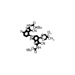 CC(C)(C)OC(=O)Nc1sc2c(F)ccc(Br)c2c1C#N.CC1(C)COB(c2ccc(F)c3sc(NC(=O)OC(C)(C)C)c(C#N)c23)OC1